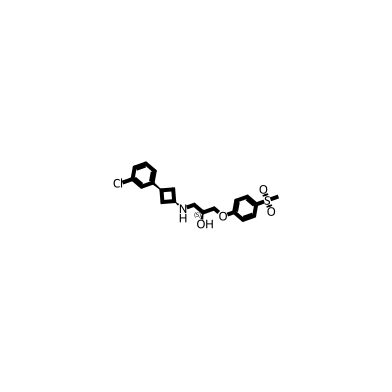 CS(=O)(=O)c1ccc(OC[C@@H](O)CN[C@H]2C[C@H](c3cccc(Cl)c3)C2)cc1